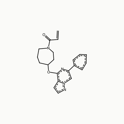 C=CC(=O)N1CCCC(Oc2nc(-c3ccccc3)cn3nccc23)CC1